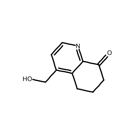 O=C1CCCc2c(CO)ccnc21